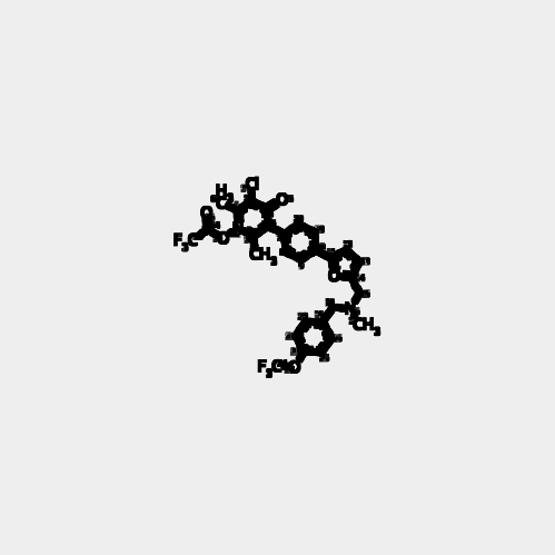 Cc1c(Cl)c(=O)c(-c2ccc(-c3ccc(CN(C)Cc4ccc(OC(F)(F)F)cc4)o3)cc2)c(C)n1OC(=O)C(F)(F)F